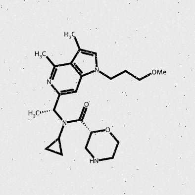 COCCCn1cc(C)c2c(C)nc([C@@H](C)N(C(=O)[C@H]3CNCCO3)C3CC3)cc21